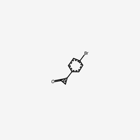 O=c1cc1-c1ccc(Br)cc1